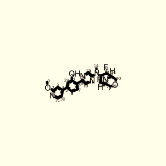 COc1cc(-c2ccc(-c3cnc(N(C)[C@H]4C[C@@H]5COC[C@@H](N5)[C@H]4F)cn3)c(O)c2)ccn1